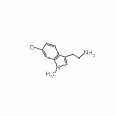 Cn1cc(CCN)c2ccc(Cl)cc21